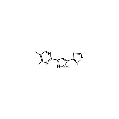 Cc1cnc(-c2cc(-c3ccon3)[nH]n2)nc1C